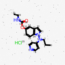 CCCN(c1ccncc1)n1ccc2cc(OC(=O)NCC)ccc21.Cl